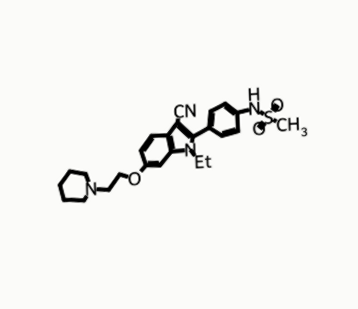 CCn1c(-c2ccc(NS(C)(=O)=O)cc2)c(C#N)c2ccc(OCCN3CCCCC3)cc21